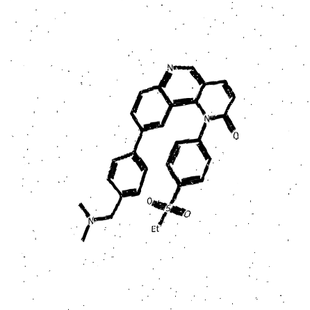 CCS(=O)(=O)c1ccc(-n2c(=O)ccc3cnc4ccc(-c5ccc(CN(C)C)cc5)cc4c32)cc1